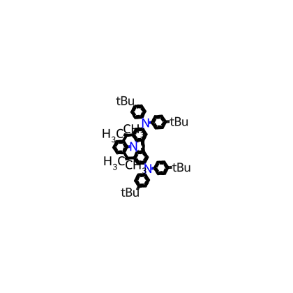 CC(C)(C)c1ccc(N(c2ccc(C(C)(C)C)cc2)c2cc3c4c(c2)c2cc(N(c5ccc(C(C)(C)C)cc5)c5ccc(C(C)(C)C)cc5)cc5c2n4-c2c(cccc2C5(C)C)C3(C)C)cc1